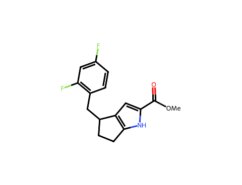 COC(=O)c1cc2c([nH]1)CCC2Cc1ccc(F)cc1F